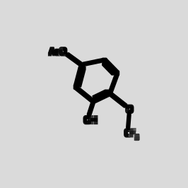 CC(=O)Oc1ccc(OC(F)(F)F)c(O)c1